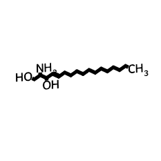 CCCCCCCCCCCC/C=C/C(O)C(N)CO